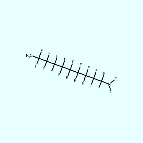 FN(F)C(F)(F)C(F)(F)C(F)(F)C(F)(F)C(F)(F)C(F)(F)C(F)(F)C(F)(F)C(F)(F)C(F)(F)F